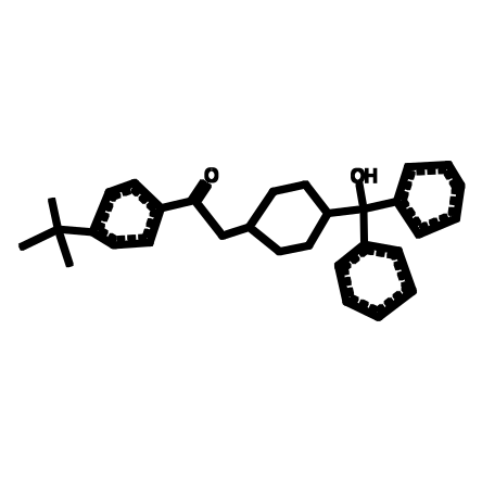 CC(C)(C)c1ccc(C(=O)CC2CCC(C(O)(c3ccccc3)c3ccccc3)CC2)cc1